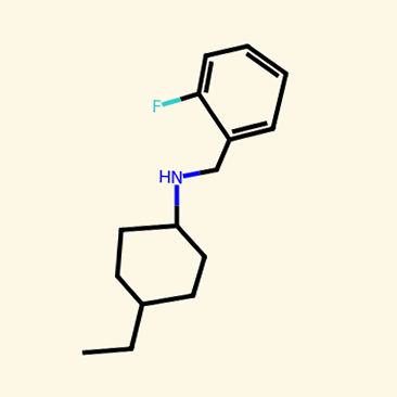 CCC1CCC(NCc2ccccc2F)CC1